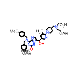 CCCC(C)Oc1nc(N(Cc2ccc(OC)cc2)Cc2ccc(OC)cc2)c2ncc(C(O)c3cnc(N4CCC(CN(CCOC)C(=O)O)CC4)c(C)c3)n2n1